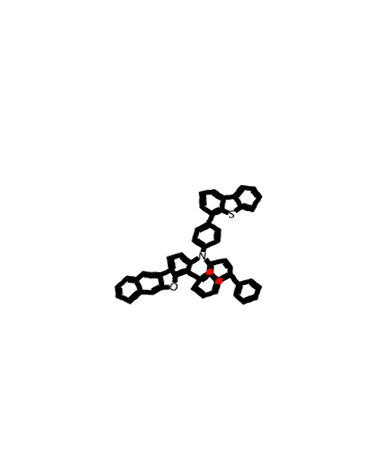 c1ccc(-c2ccc(N(c3ccc(-c4cccc5c4sc4ccccc45)cc3)c3ccc4c(oc5cc6ccccc6cc54)c3-c3ccccc3)cc2)cc1